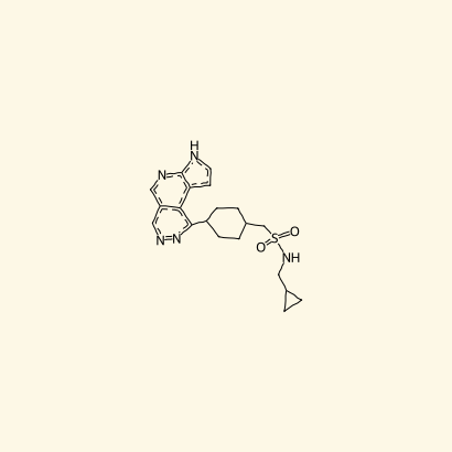 O=S(=O)(CC1CCC(c2nncc3cnc4[nH]ccc4c23)CC1)NCC1CC1